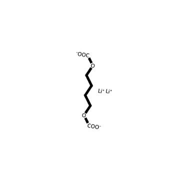 O=C([O-])OCCCCOC(=O)[O-].[Li+].[Li+]